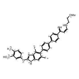 COCCN/C=C\C(=N)c1ccc(-c2ccc(-c3c(F)cc4[nH]c(Oc5ccc(C)c(C(=O)O)c5)nc4c3F)cc2)cc1